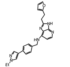 CCn1cc(-c2ccc(CNc3ccnc4[nH]c(CCc5ccco5)nc34)cc2)cn1